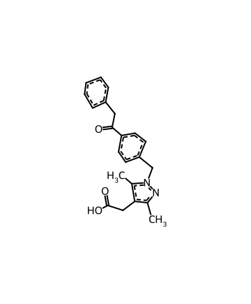 Cc1nn(Cc2ccc(C(=O)Cc3ccccc3)cc2)c(C)c1CC(=O)O